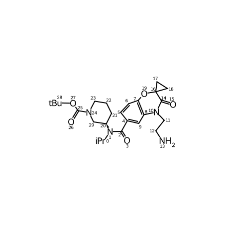 CC(C)N(C(=O)c1ccc2c(c1)N(CCN)C(=O)C1(CC1)O2)[C@@H]1CCCN(C(=O)OC(C)(C)C)C1